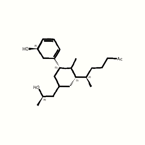 CC(=O)CCC[C@@H](C)[C@@H]1CC(C[C@@H](C)O)C[C@H](C2=CC=C[C@H](O)C2)C1C